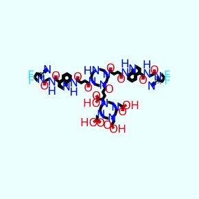 N#C[C@@H]1CC(F)(F)CN1C(=O)CNC(=O)c1ccnc2c(NC(=O)CCC(=O)N3CCNCCN(C(=O)CCC(=O)Nc4cccc5c(C(=O)NCC(=O)N6CC(F)(F)C[C@H]6C#N)ccnc45)CCN(C(=O)CCC(C(=O)O)N4CCN(CC(=O)O)CCN(CC(=O)O)CCN(CC(=O)O)CC4)CC3)cccc12